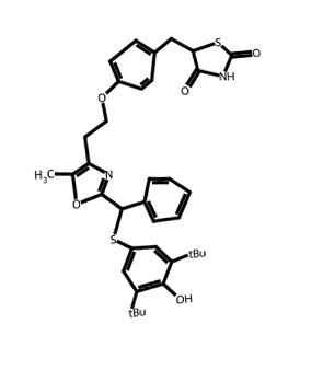 Cc1oc(C(Sc2cc(C(C)(C)C)c(O)c(C(C)(C)C)c2)c2ccccc2)nc1CCOc1ccc(CC2SC(=O)NC2=O)cc1